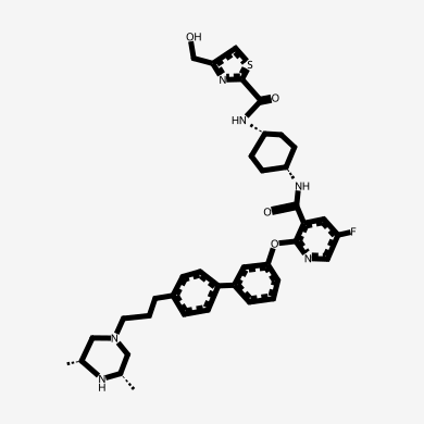 C[C@@H]1CN(CCCc2ccc(-c3cccc(Oc4ncc(F)cc4C(=O)N[C@H]4CC[C@@H](NC(=O)c5nc(CO)cs5)CC4)c3)cc2)C[C@H](C)N1